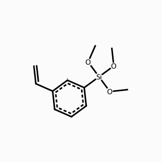 C=Cc1[c]c([Si](OC)(OC)OC)ccc1